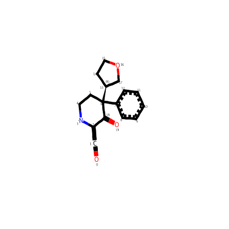 O=C=C1[N]CCC(c2ccccc2)([C@H]2CCOC2)C1=O